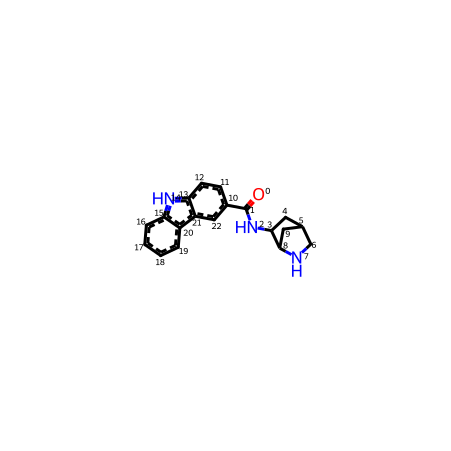 O=C(NC1CC2CNC1C2)c1ccc2[nH]c3ccccc3c2c1